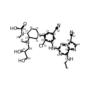 CCNc1nc(Nc2cc(C#N)cc(N3CC[C@@H](N(C)C(=O)O)C(N(C)C[C@H](O)CO)C3)c2Cl)nn2c(C#N)cnc12